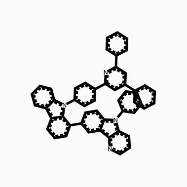 c1ccc(-c2cc(-c3ccccc3)nc(-c3ccc(-n4c5ccccc5c5cccc(-c6ccc7c(c6)c6ncccc6n7-c6ccccc6)c54)cc3)c2)cc1